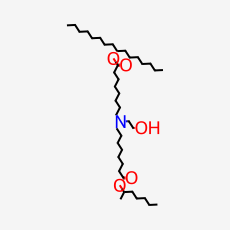 CCCCCCCCC(CCCCCCC)OC(=O)CCCCCCCN(CCO)CCCCCCCC(=O)OC(C)CCCCC